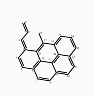 C=C/C=c1/ccc2ccc3ccc4cccc5c(C)c1c2c3c45